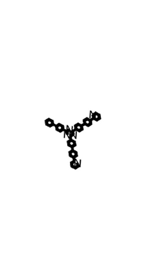 c1ccc(-c2ccc(-c3nc(-c4ccc(-c5ccc(-c6ccccn6)cc5)cc4)nc(-c4ccc(-c5ccc(-c6ccccn6)cc5)cc4)n3)cc2)cc1